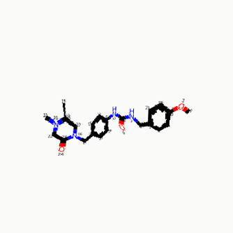 COc1ccc(CNC(=O)Nc2ccc(CN3C[C@H](C)N(C)CC3=O)cc2)cc1